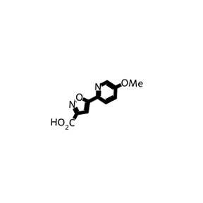 COc1ccc(-c2cc(C(=O)O)no2)nc1